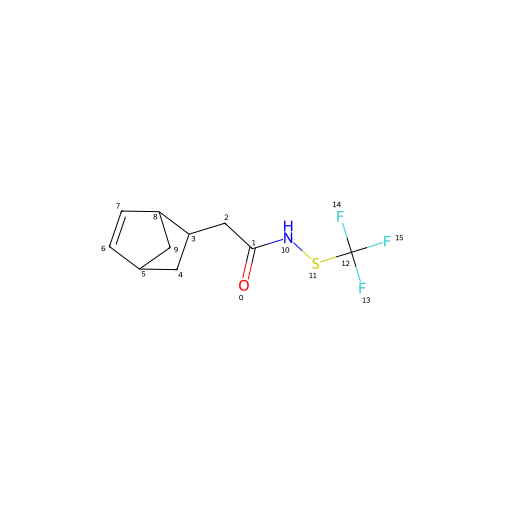 O=C(CC1CC2C=CC1C2)NSC(F)(F)F